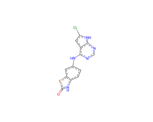 O=c1[nH]c2ccc(Nc3ncnc4[nH]c(Cl)cc34)cc2s1